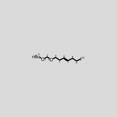 CCCCOCOCC/C=C/CCI